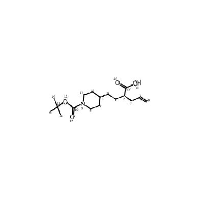 C=CC[C@@H](CCC1CCN(C(=O)OC(C)(C)C)CC1)C(=O)O